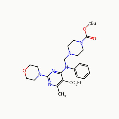 CCOC(=O)c1c(C)nc(N2CCOCC2)nc1N(CN1CCN(C(=O)OC(C)(C)C)CC1)c1ccccc1